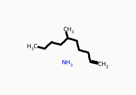 C=CCCCC(C)CCCC.N